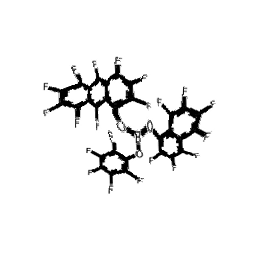 Fc1c(F)c(F)c(OB(Oc2c(F)c(F)c(F)c3c(F)c(F)c(F)c(F)c23)Oc2c(F)c(F)c(F)c3c(F)c4c(F)c(F)c(F)c(F)c4c(F)c23)c(F)c1F